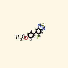 COc1ccc(-c2cc3nsnc3cc2F)cc1